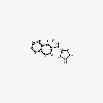 Cl.c1cnc2cc(N[C@@H]3CCNC3)ccc2c1